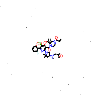 C=CC(=O)N1CCN2C(=O)c3c(N4CC(N(C)CC5COC5)CC4(C)C)nc(-c4c(O)cccc4F)c(Cl)c3OC[C@H]2C1